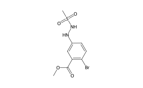 COC(=O)c1cc(NNS(C)(=O)=O)ccc1Br